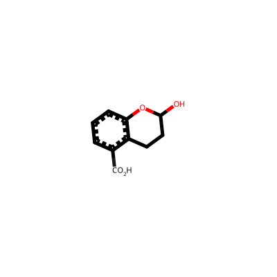 O=C(O)c1cccc2c1CCC(O)O2